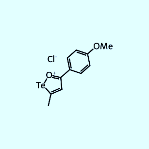 COc1ccc(-c2cc(C)[te][o+]2)cc1.[Cl-]